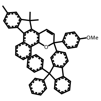 COc1ccc(C2(c3ccc4c(c3)C(c3ccccc3)(c3ccccc3)c3ccccc3-4)C=Cc3c4c(c5ccccc5c3O2)-c2ccc(C)cc2C4(C)C)cc1